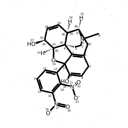 CN1CC[C@]23C4=C5CC=C(O)C4(c4cccc([N+](=O)[O-])c4[N+](=O)[O-])O[C@H]2[C@@H](O)C=C[C@H]3[C@H]1C5